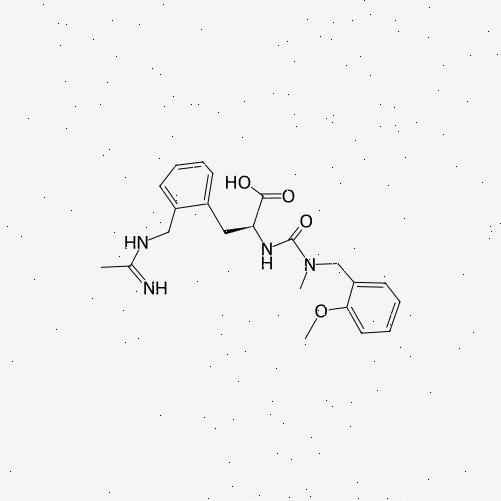 COc1ccccc1CN(C)C(=O)N[C@@H](Cc1ccccc1CNC(C)=N)C(=O)O